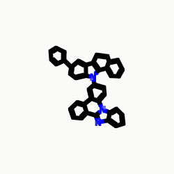 c1ccc(-c2ccc3c(c2)c2ccc4ccccc4c2n3-c2ccc3c(c2)c2ccccc2c2nc4ccccc4n32)cc1